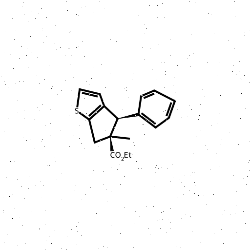 CCOC(=O)[C@@]1(C)Cc2sccc2[C@H]1c1ccccc1